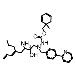 C=C/C=C(\CCC)CC(N)C(O)CN(Cc1ccc(-c2ccccn2)cc1)NC(=O)OCC1(C)C=CC=CC1